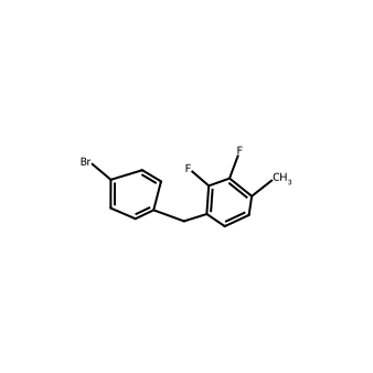 Cc1ccc(Cc2ccc(Br)cc2)c(F)c1F